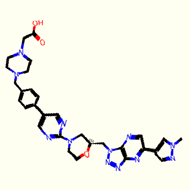 Cn1cc(-c2cnc3c(nnn3C[C@@H]3CN(c4ncc(-c5ccc(CN6CCN(CC(=O)O)CC6)cc5)cn4)CCO3)n2)cn1